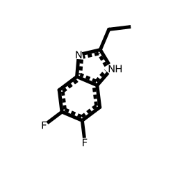 CCc1nc2cc(F)c(F)cc2[nH]1